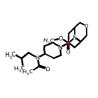 COC(=O)N1C2COCC1CC(N1CCC(N(CC(C)C)C(C)=O)CC1)C2